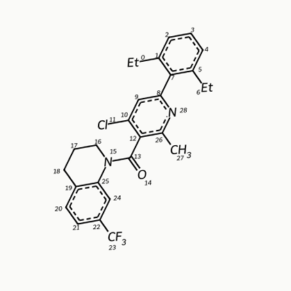 CCc1cccc(CC)c1-c1cc(Cl)c(C(=O)N2CCCc3ccc(C(F)(F)F)cc32)c(C)n1